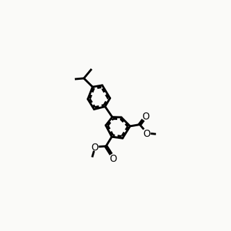 COC(=O)c1cc(C(=O)OC)cc(-c2ccc(C(C)C)cc2)c1